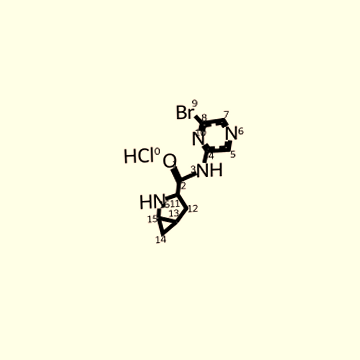 Cl.O=C(Nc1cncc(Br)n1)C1CC2CC2N1